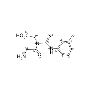 Cc1cccc(NC(=S)N(CC(=O)O)C(=O)CN)c1